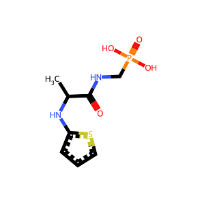 CC(Nc1cccs1)C(=O)NCP(=O)(O)O